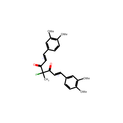 COc1ccc(/C=C/C(=O)C(C)(F)C(=O)/C=C/c2ccc(OC)c(OC)c2)cc1OC